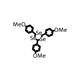 COc1ccc(C2[Se]C(c3ccc(OC)cc3)[Se]C(c3ccc(OC)cc3)[Se]2)cc1